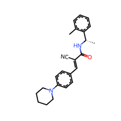 Cc1ccccc1[C@H](C)NC(=O)/C(C#N)=C/c1ccc(N2CCCCC2)cc1